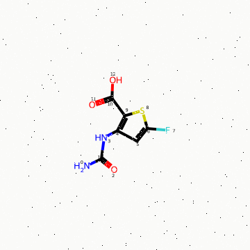 NC(=O)Nc1cc(F)sc1C(=O)O